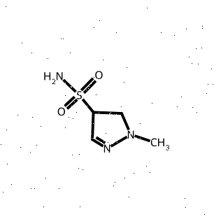 CN1CC(S(N)(=O)=O)C=N1